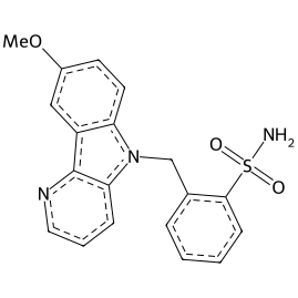 COc1ccc2c(c1)c1ncccc1n2Cc1ccccc1S(N)(=O)=O